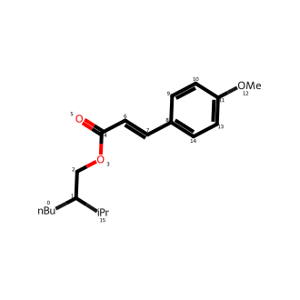 CCCCC(COC(=O)C=Cc1ccc(OC)cc1)C(C)C